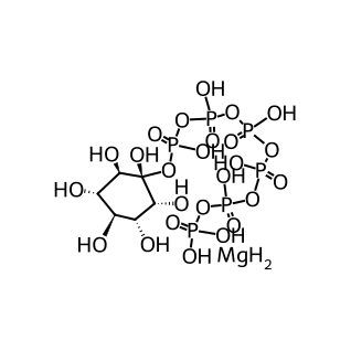 O=P(O)(O)OP(=O)(O)OP(=O)(O)OP(=O)(O)OP(=O)(O)OP(=O)(O)O[C@]1(O)[C@H](O)[C@H](O)[C@@H](O)[C@H](O)[C@H]1O.[MgH2]